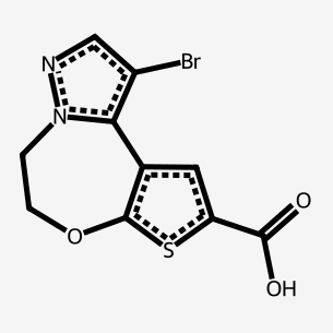 O=C(O)c1cc2c(s1)OCCn1ncc(Br)c1-2